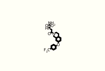 NS(=O)(=O)NCC(=O)N1CCc2ccc(Oc3ccc(C(F)(F)F)cc3)cc2C1